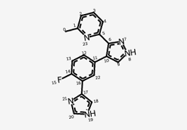 Cc1cccc(-c2n[nH]cc2-c2ccc(F)c(-c3c[nH]cn3)c2)n1